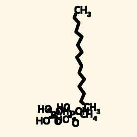 C.CCCCCCCCCCCCCCC.O=P(O)(O)O.O=P(O)(O)O